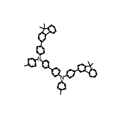 Cc1ccc(N(c2ccc(-c3ccc(N(c4ccc(C)cc4)c4ccc(-c5ccc6c(c5)-c5ccccc5C6(C)C)cc4)cc3)cc2)c2ccc(-c3ccc4c(c3)-c3ccccc3C4(C)C)cc2)cc1